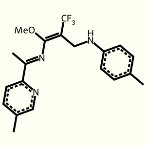 COC(/N=C(\C)c1ccc(C)cn1)=C(/CNc1ccc(C)cc1)C(F)(F)F